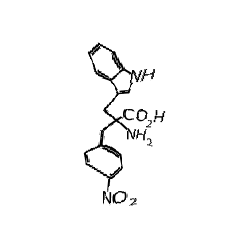 NC(Cc1ccc([N+](=O)[O-])cc1)(Cc1c[nH]c2ccccc12)C(=O)O